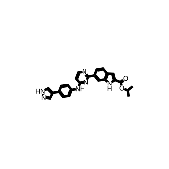 CC(C)OC(=O)c1cc2ccc(-c3nccc(Nc4ccc(-c5cn[nH]c5)cc4)n3)cc2[nH]1